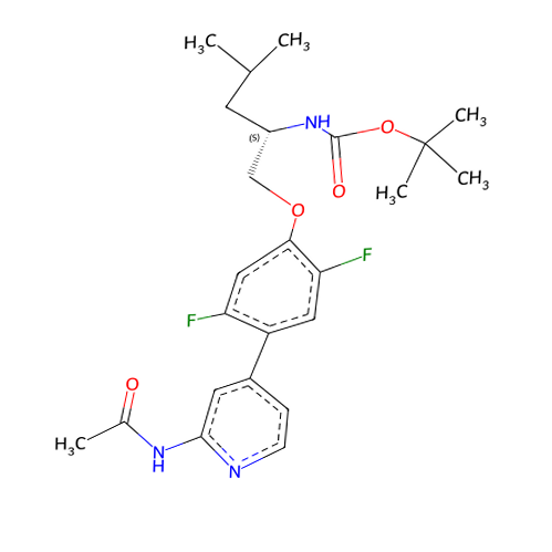 CC(=O)Nc1cc(-c2cc(F)c(OC[C@H](CC(C)C)NC(=O)OC(C)(C)C)cc2F)ccn1